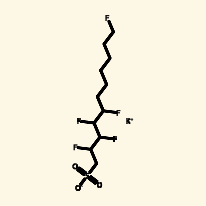 O=S(=O)([O-])CC(F)C(F)C(F)C(F)CCCCCCF.[K+]